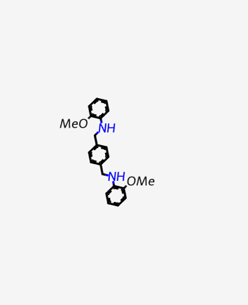 COc1ccccc1NCc1ccc(CNc2ccccc2OC)cc1